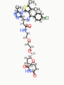 Cc1sc2c(c1C)C(c1ccc(Cl)cc1)=N[C@@H](CC(=O)NCCOCCOC[C@H]1CC[C@]3(CCC(=O)NC3=O)O1)c1nnc(C)n1-2